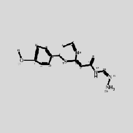 C=C(/C=C(\N=C/C)SCc1ccc(OC)cc1)N/C=N\N